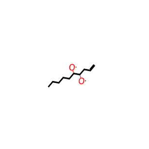 C=CC[C@H]([O])[C@@H]([O])CCCCC